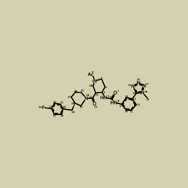 CC(=O)N1CCC(NC(=O)Nc2cccc(-c3nnnn3C)c2)C(C(=O)N2CCC[C@H](Cc3ccc(F)cc3)C2)C1